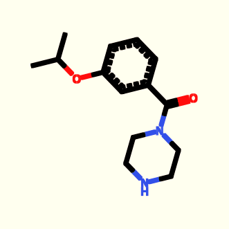 CC(C)Oc1cccc(C(=O)N2CCNCC2)c1